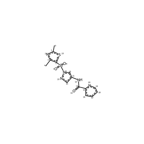 Cc1nc(C)c(S(=O)(=O)n2cc(NC(=O)c3ccccn3)cn2)s1